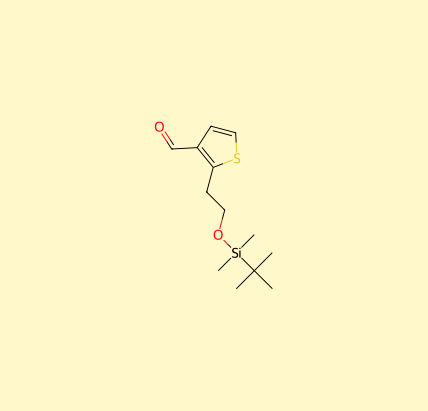 CC(C)(C)[Si](C)(C)OCCc1sccc1C=O